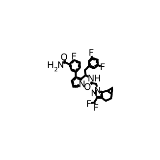 NC(=O)c1cc(-c2cccnc2C(Cc2cc(F)cc(F)c2)NC(=O)Cn2nc(C(F)F)c3c2C2CC2CC3)ccc1F